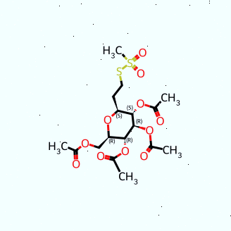 CC(=O)OC[C@H]1O[C@@H](CCSS(C)(=O)=O)[C@H](OC(C)=O)[C@@H](OC(C)=O)[C@@H]1OC(C)=O